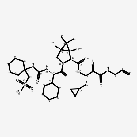 C=CCNC(=O)C(=O)[C@H](CC1CC1)NC(=O)[C@@H]1[C@@H]2[C@H](CN1C(=O)[C@@H](NC(=O)NC1(CS(=O)(=O)C(C)(C)C)CCCCC1)C1CCCCC1)C2(C)C